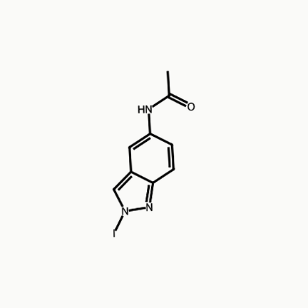 CC(=O)Nc1ccc2nn(I)cc2c1